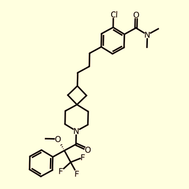 CO[C@@](C(=O)N1CCC2(CC1)CC(CCCc1ccc(C(=O)N(C)C)c(Cl)c1)C2)(c1ccccc1)C(F)(F)F